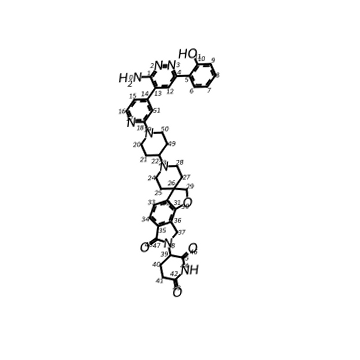 Nc1nnc(-c2ccccc2O)cc1-c1ccnc(N2CCC(N3CCC4(CC3)COc3c4ccc4c3CN(C3CCC(=O)NC3=O)C4=O)CC2)c1